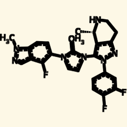 C[C@@H]1NCCc2nn(-c3ccc(F)c(F)c3)c(-n3ccn(-c4ccc5c(cnn5C)c4F)c3=O)c21